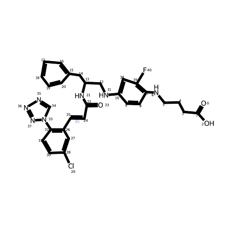 O=C(O)CCCNc1ccc(NCC(Cc2ccccc2)NC(=O)/C=C/c2cc(Cl)ccc2-n2cnnn2)cc1F